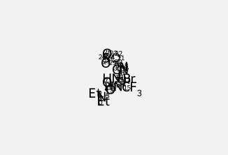 CCN(CC)CCOC(=O)CN/C(=C(/Br)C(=N)C(F)(F)F)c1nnc(-c2cccc(S(C)(=O)=O)c2)o1